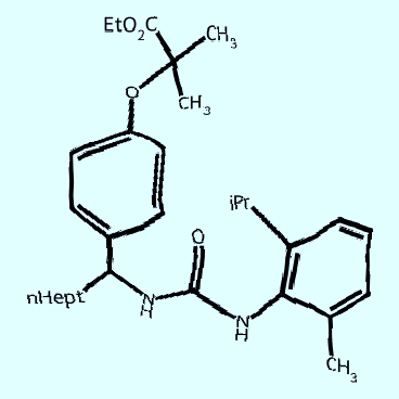 CCCCCCCC(NC(=O)Nc1c(C)cccc1C(C)C)c1ccc(OC(C)(C)C(=O)OCC)cc1